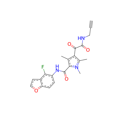 C#CCNC(=O)C(=O)c1c(C)c(C(=O)Nc2ccc3occc3c2F)n(C)c1C